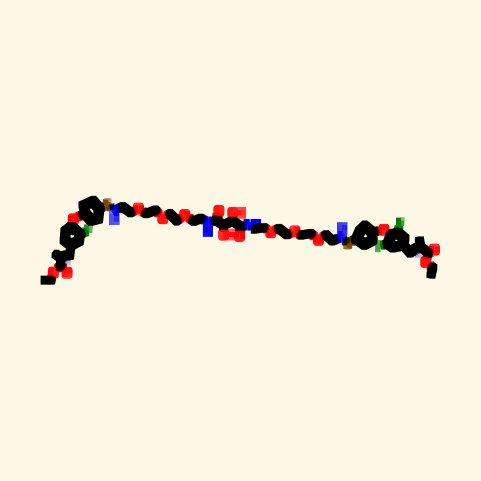 CCOC(=O)/C(C)=C/c1ccc(Oc2ccc(SNCCOCCOCCOCCNC(=O)C(O)C(O)C(=O)NCCOCCOCCOCCNSc3ccc(Oc4c(F)cc(/C=C(\C)C(=O)OCC)cc4F)cc3)cc2)c(F)c1